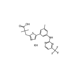 Cc1cc(Nc2nccc(C(F)(F)F)n2)cc(-c2cnc(CC(C)(C)C(=O)O)s2)c1.[KH]